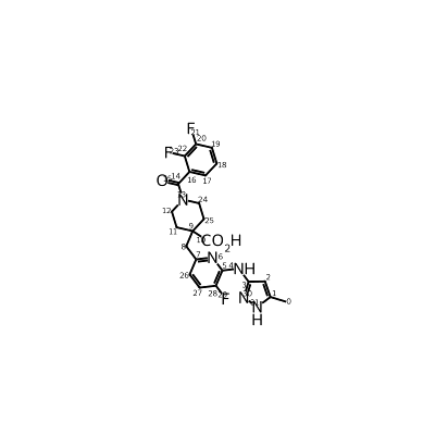 Cc1cc(Nc2nc(CC3(C(=O)O)CCN(C(=O)c4cccc(F)c4F)CC3)ccc2F)n[nH]1